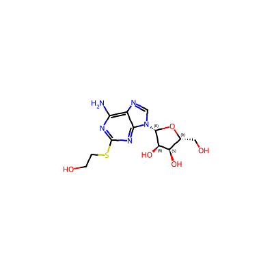 Nc1nc(SCCO)nc2c1ncn2[C@@H]1O[C@H](CO)[C@@H](O)[C@H]1O